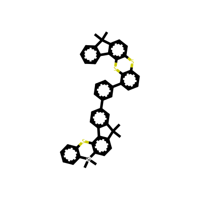 CC1(C)c2ccccc2-c2c1ccc1c2Sc2c(cccc2-c2cccc(-c3ccc4c(c3)C(C)(C)c3ccc5c(c3-4)Sc3ccccc3[Si]5(C)C)c2)S1